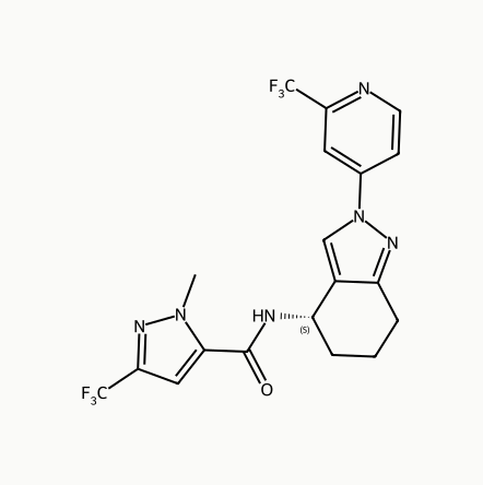 Cn1nc(C(F)(F)F)cc1C(=O)N[C@H]1CCCc2nn(-c3ccnc(C(F)(F)F)c3)cc21